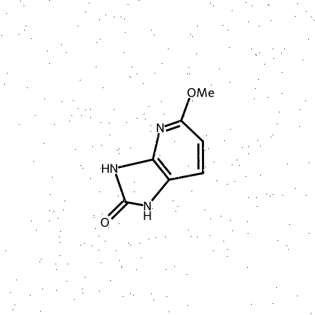 COc1ccc2[nH]c(=O)[nH]c2n1